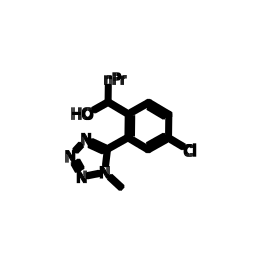 CCCC(O)c1ccc(Cl)cc1-c1nnnn1C